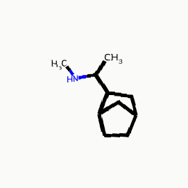 CNC(C)C1CC2CCC1C2